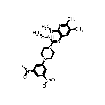 CONC(=Nc1cc(C)c(C)nc1OC)N1CCN(c2cc([N+](=O)[O-])cc([N+](=O)[O-])c2)CC1